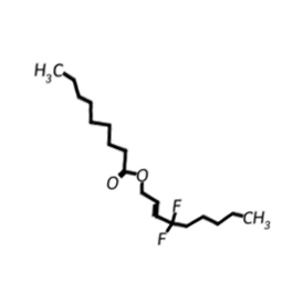 CCCCCCCCC(=O)OC/C=C/C(F)(F)CCCCC